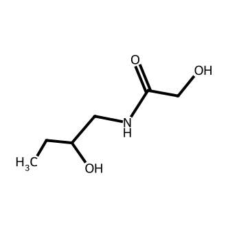 CCC(O)CNC(=O)CO